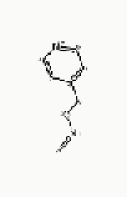 C=NOCc1ccncc1